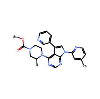 C[C@H]1CN(C(=O)OC(C)(C)C)CCN1c1ncnc2c1c(-c1cccnc1)cn2-c1cc(C#N)ccn1